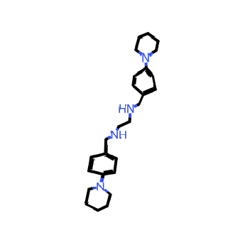 c1cc(N2CCCCC2)ccc1CNCCNCc1ccc(N2CCCCC2)cc1